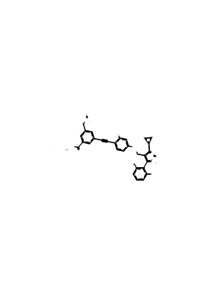 CNCc1cc(C#Cc2ccc(OCc3c(-c4c(Cl)cccc4Cl)noc3C3CC3)cc2Cl)cc(C(=O)OC)c1